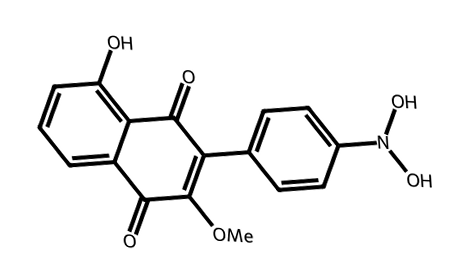 COC1=C(c2ccc(N(O)O)cc2)C(=O)c2c(O)cccc2C1=O